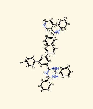 Cc1ccc(-c2cc(C3=NC(c4ccccc4)NC(c4ccccc4)N3)cc(-c3ccc4cc(-c5nc6ccccc6c6ccncc56)ccc4c3)c2)cc1